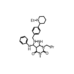 CCN1CCCCC1c1ccc(CN2NC3C(C(=O)N(C)C(=O)N3CC(C)C)C2Nc2ccccc2)cc1